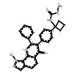 CCn1ncc2ccc3c(=O)c(-c4ccc(C5(NC(=O)OC(C)(C)C)CCC5)cc4)c(-c4ccccc4)oc3c21